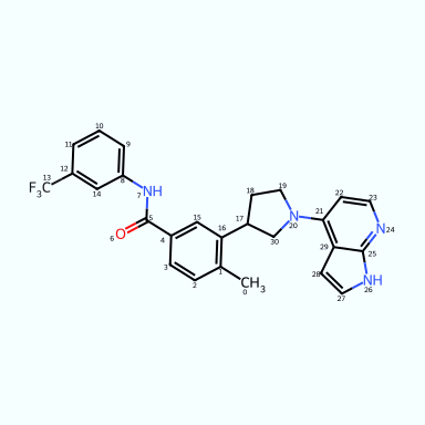 Cc1ccc(C(=O)Nc2cccc(C(F)(F)F)c2)cc1C1CCN(c2ccnc3[nH]ccc23)C1